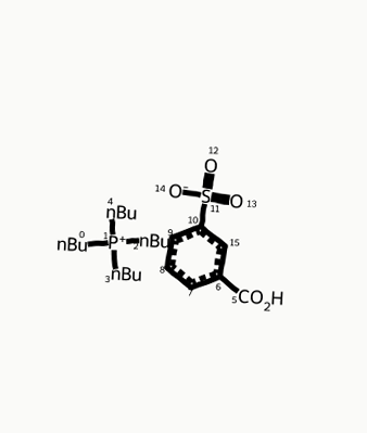 CCCC[P+](CCCC)(CCCC)CCCC.O=C(O)c1cccc(S(=O)(=O)[O-])c1